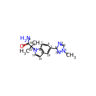 Cn1cnc(-c2ccc3c(ccn3C(C)(C)C(N)=O)c2)n1